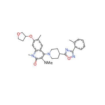 CNc1c(N2CCC(c3nc(-c4ccccc4C)no3)CC2)c2cc(C)c(OC3CCOC3)cc2n(C)c1=O